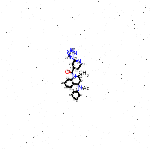 CC(=O)N(c1ccccc1)C1CC(C)N(C(=O)c2ccnc(-n3cnnn3)c2)c2ccccc21